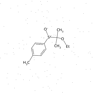 CCOC(C)(C)[S+]([O-])c1ccc(C)cc1